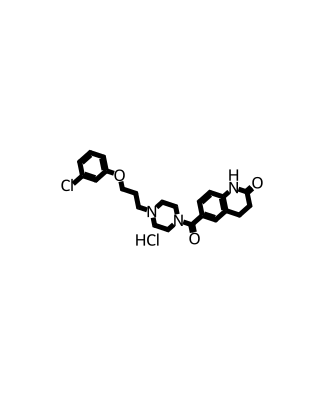 Cl.O=C1CCc2cc(C(=O)N3CCN(CCCOc4cccc(Cl)c4)CC3)ccc2N1